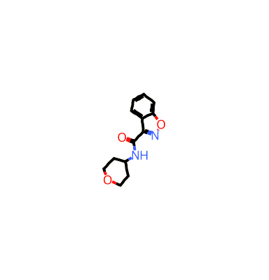 O=C(NC1CCOCC1)c1noc2ccccc12